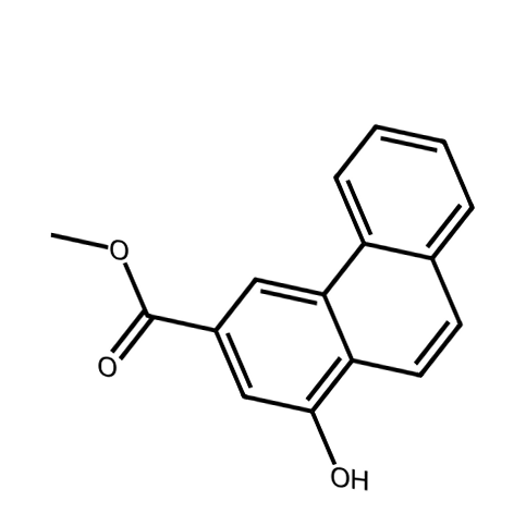 COC(=O)c1cc(O)c2ccc3ccccc3c2c1